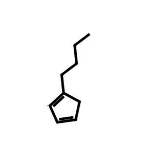 CCCCC1=[C]C=CC1